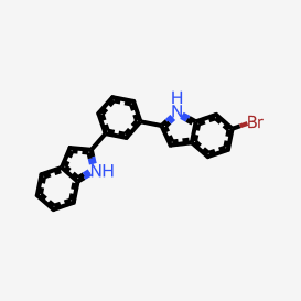 Brc1ccc2cc(-c3cccc(-c4cc5ccccc5[nH]4)c3)[nH]c2c1